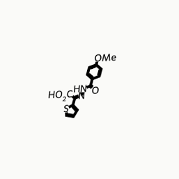 COc1ccc(C(=O)N/N=C(\C(=O)O)c2cccs2)cc1